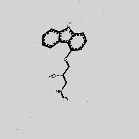 CC(C)NC[C@H](O)COc1cccc2[nH]c3ccccc3c12